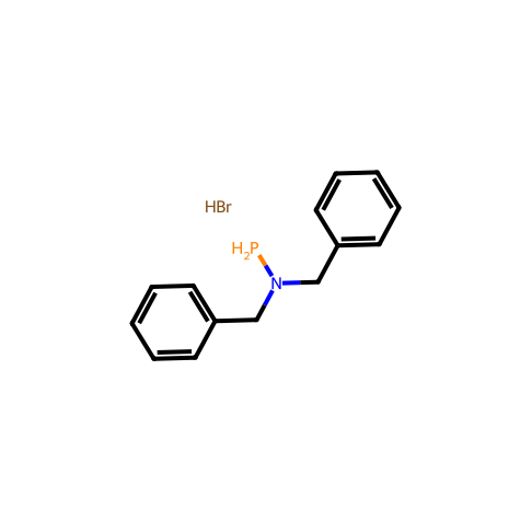 Br.PN(Cc1ccccc1)Cc1ccccc1